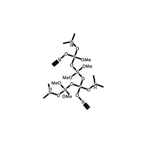 C#[Si]O[Si](OC)(O[SiH](C)C)O[Si](OC)(OC)O[Si](O[Si]#C)(O[SiH](C)C)O[Si](OC)(OC)O[SiH](C)C